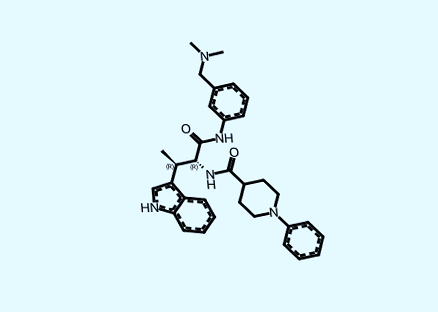 C[C@H](c1c[nH]c2ccccc12)[C@@H](NC(=O)C1CCN(c2ccccc2)CC1)C(=O)Nc1cccc(CN(C)C)c1